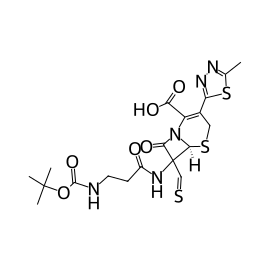 Cc1nnc(C2=C(C(=O)O)N3C(=O)C(C=S)(NC(=O)CCNC(=O)OC(C)(C)C)[C@@H]3SC2)s1